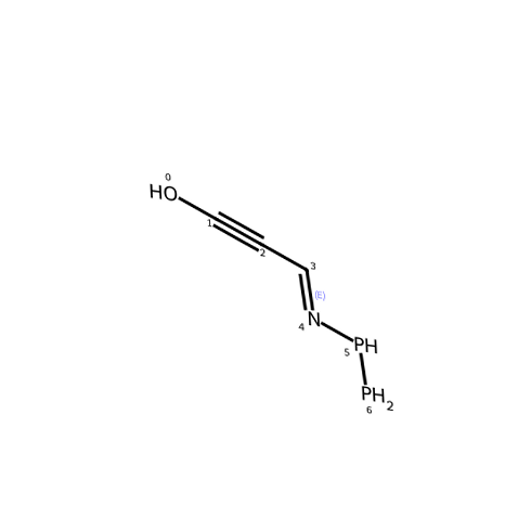 OC#C/C=N/PP